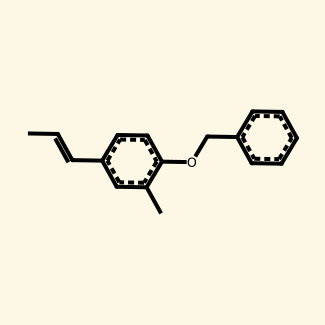 CC=Cc1ccc(OCc2ccccc2)c(C)c1